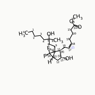 CCCCCC(C)(O)CC[C@]12[C@H](C[C@H](O)[C@@H]1C/C=C\CCCC(=O)OC)C2(F)F